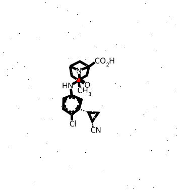 CC1CC2CC(C(=O)O)(C1)N2C(=O)Nc1ccc(Cl)c([C@@H]2C[C@@H]2C#N)c1